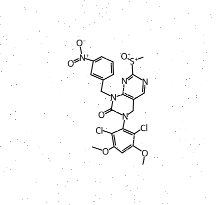 COc1cc(OC)c(Cl)c(N2Cc3cnc([S+](C)[O-])nc3N(Cc3cccc([N+](=O)[O-])c3)C2=O)c1Cl